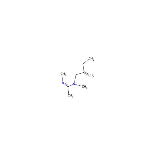 C=C(CC)CN(C)/C(C)=N\C